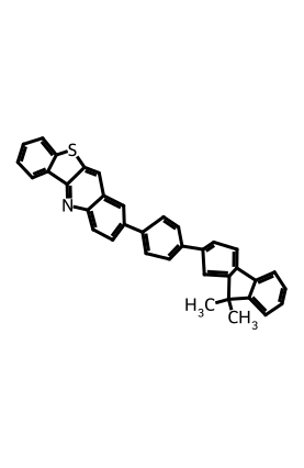 CC1(C)c2ccccc2-c2ccc(-c3ccc(-c4ccc5nc6c(cc5c4)sc4ccccc46)cc3)cc21